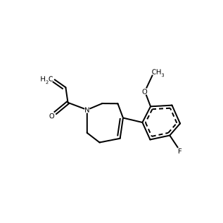 C=CC(=O)N1CCC=C(c2cc(F)ccc2OC)CC1